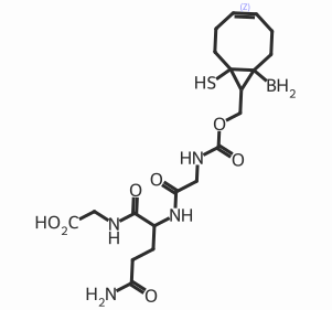 BC12CC/C=C\CCC1(S)C2COC(=O)NCC(=O)NC(CCC(N)=O)C(=O)NCC(=O)O